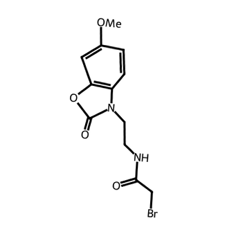 COc1ccc2c(c1)oc(=O)n2CCNC(=O)CBr